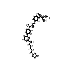 N=C(N)c1c[nH]c2ccc(CCNC(=O)c3ccc(-c4ccnc(NCCCCCN5CCCC5)n4)cc3)cc12